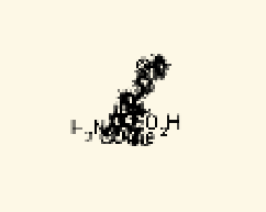 COc1c(C(N)=O)cc(C(C)(C)C)c(-c2c(C(=O)O)n(C)c3c(CN4CCN(C(=O)C5CCCN5C)CC4)cccc23)c1CO[Si](C)(C)C